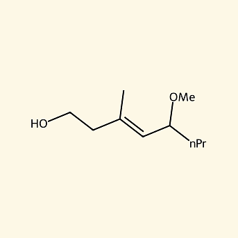 CCCC(/C=C(\C)CCO)OC